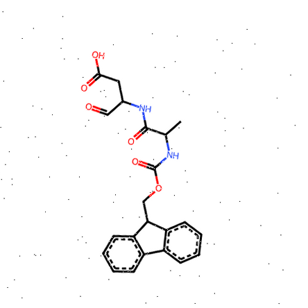 CC(NC(=O)OCC1c2ccccc2-c2ccccc21)C(=O)NC(C=O)CC(=O)O